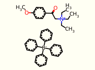 CC[N+](CC)(CC)CC(=O)c1ccc(OC)cc1.c1ccc([B-](c2ccccc2)(c2ccccc2)c2ccccc2)cc1